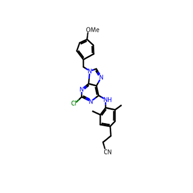 COc1ccc(Cn2cnc3c(Nc4c(C)cc(CCC#N)cc4C)nc(Cl)nc32)cc1